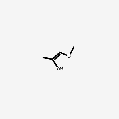 COC=C(C)O